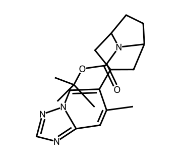 Cc1cc2ncnn2cc1C1CC2CCC(C1)N2C(=O)OC(C)(C)C